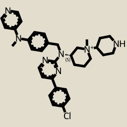 CN(c1ccncc1)c1ccc(CN(c2nccc(-c3ccc(Cl)cc3)n2)[C@H]2CCC[N+](C)(C3CCNCC3)C2)cc1